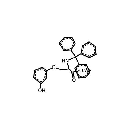 COC(=O)C(COc1cccc(O)c1)NC(c1ccccc1)(c1ccccc1)c1ccccc1